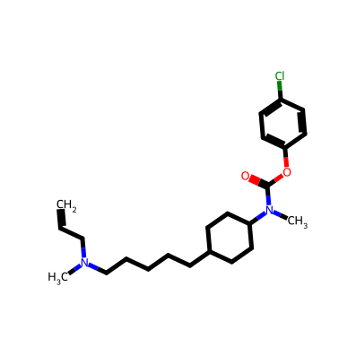 C=CCN(C)CCCCCC1CCC(N(C)C(=O)Oc2ccc(Cl)cc2)CC1